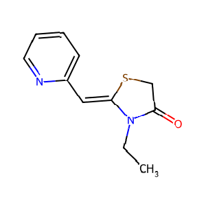 CCN1C(=O)CS/C1=C\c1ccccn1